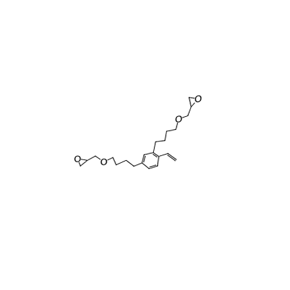 C=Cc1ccc(CCCCOCC2CO2)cc1CCCCOCC1CO1